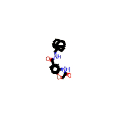 O=C1COc2ccc(C(=O)NCC34CC5CC(CC(C5)C3)C4)cc2N1